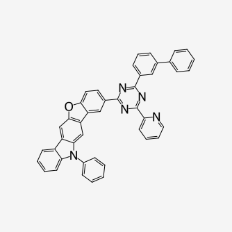 c1ccc(-c2cccc(-c3nc(-c4ccc5oc6cc7c8ccccc8n(-c8ccccc8)c7cc6c5c4)nc(-c4ccccn4)n3)c2)cc1